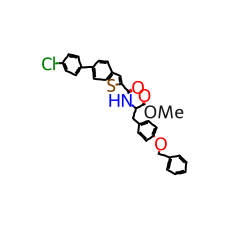 COC(=O)C(Cc1ccc(OCc2ccccc2)cc1)NC(=O)c1cc2ccc(-c3ccc(Cl)cc3)cc2s1